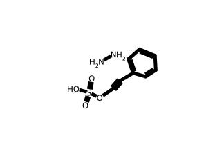 NN.O=S(=O)(O)OC#Cc1ccccc1